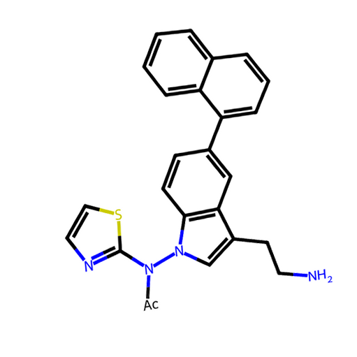 CC(=O)N(c1nccs1)n1cc(CCN)c2cc(-c3cccc4ccccc34)ccc21